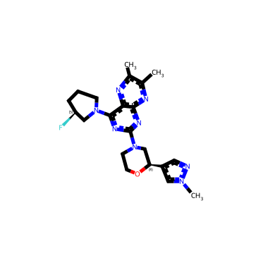 Cc1nc2nc(N3CCO[C@H](c4cnn(C)c4)C3)nc(N3CCC[C@H](F)C3)c2nc1C